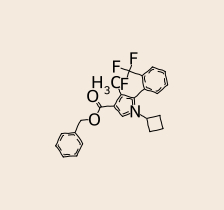 Cc1c(C(=O)OCc2ccccc2)cn(C2CCC2)c1-c1ccccc1C(F)(F)F